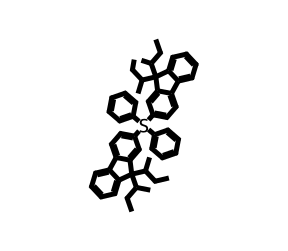 CCC(C)C1(C(C)CC)c2ccccc2-c2ccc(S(c3ccccc3)(c3ccccc3)c3ccc4c(c3)C(C(C)CC)(C(C)CC)c3ccccc3-4)cc21